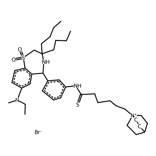 CCCCC1(CCCC)CS(=O)(=O)c2ccc(N(C)CC)cc2C(c2cccc(NC(=S)CCCCC[N+]34CCC(CC3)CC4)c2)N1.[Br-]